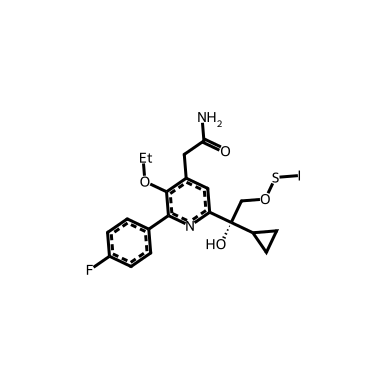 CCOc1c(CC(N)=O)cc([C@@](O)(COSI)C2CC2)nc1-c1ccc(F)cc1